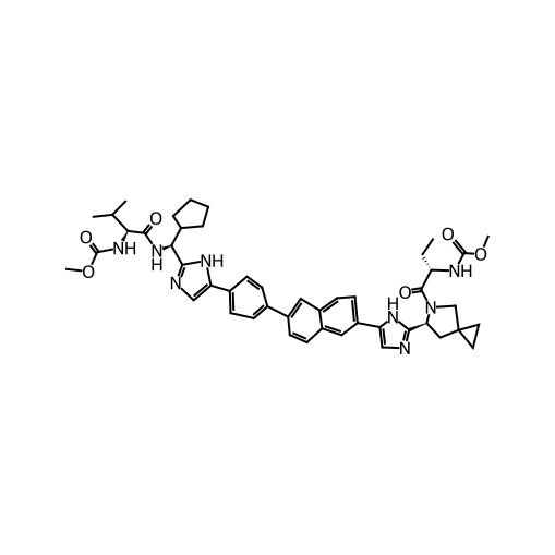 CC[C@H](NC(=O)OC)C(=O)N1CC2(CC2)C[C@H]1c1ncc(-c2ccc3cc(-c4ccc(-c5cnc([C@@H](NC(=O)[C@@H](NC(=O)OC)C(C)C)C6CCCC6)[nH]5)cc4)ccc3c2)[nH]1